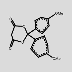 COc1ccc(C2(c3ccc(OC)cc3)OC(=O)CC(=O)O2)cc1